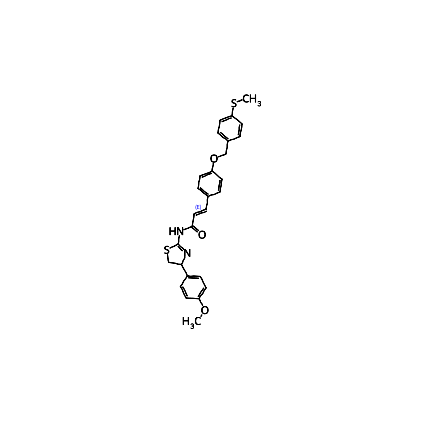 COc1ccc(C2CSC(NC(=O)/C=C/c3ccc(OCc4ccc(SC)cc4)cc3)=N2)cc1